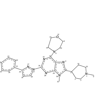 CN1CCC(c2nc3c(N4CCOCC4)nc(-n4ccc(-c5ccccc5)n4)nc3n2C)CC1